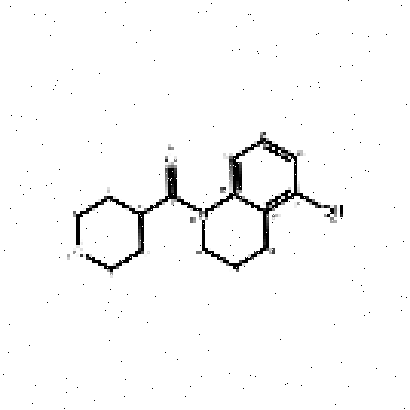 O=C(C1CCOCC1)N1CCCc2c(O)cccc21